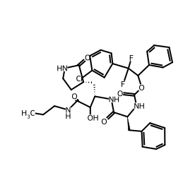 CCCNC(=O)C(O)[C@H](C[C@@H]1CCNC1=O)NC(=O)[C@H](Cc1ccccc1)NC(=O)OC(c1ccccc1)C(F)(F)c1cccc(Cl)c1